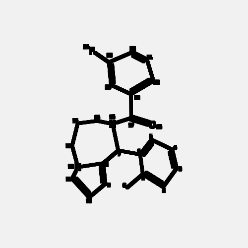 Cc1ccccc1C1c2cccn2CCCN1C(=O)c1cccc(F)c1